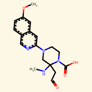 CNC1(CC=O)CN(c2cc3cc(OC)ccc3cn2)CCN1C(=O)O